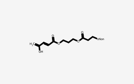 C=C(O)/C=C/C(=O)OCCCOC(=O)CCCCCCCCCCC